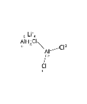 [AlH4-].[Cl][Al]([Cl])[Cl].[Li+]